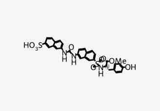 COC(=O)[C@H](Cc1ccc(O)cc1)NS(=O)(=O)c1ccc2ccc(NC(=O)Nc3ccc4ccc(S(=O)(=O)O)cc4c3)cc2c1